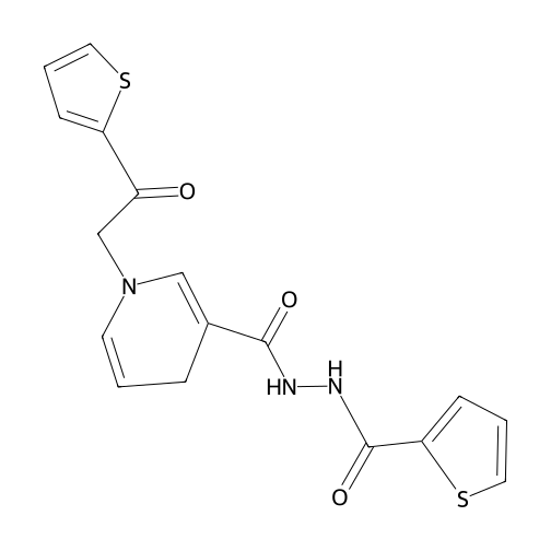 O=C(NNC(=O)c1cccs1)C1=CN(CC(=O)c2cccs2)C=CC1